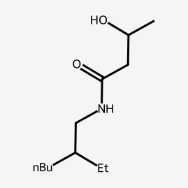 CCCCC(CC)CNC(=O)CC(C)O